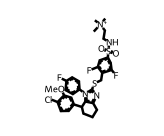 COc1cc(C2CCCc3nc(SCc4c(F)cc(S(=O)(=O)NCC[N+](C)(C)C)cc4F)n(-c4ccc(F)cc4)c32)ccc1Cl